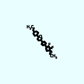 CCCC1CCC(C2CCC(c3ccc(-c4ccc(OCC)c(F)c4F)cc3)CO2)CC1